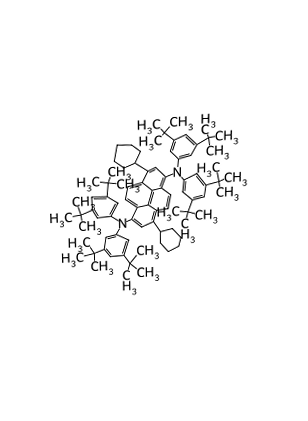 CC(C)(C)c1cc(N(c2cc(C(C)(C)C)cc(C(C)(C)C)c2)c2cc(C3CCCCC3)c3ccc4c(N(c5cc(C(C)(C)C)cc(C(C)(C)C)c5)c5cc(C(C)(C)C)cc(C(C)(C)C)c5)cc(C5CCCCC5)c5ccc2c3c54)cc(C(C)(C)C)c1